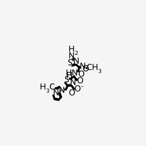 CO/N=C(\C(=O)N[C@@H]1C(=O)N2C(C(=O)[O-])=C(Cn3cc(C)[n+]4ccccc34)CS[C@H]12)c1csc(N)n1